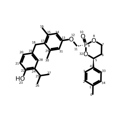 Cc1ccc([C@@H]2CCO[P@@](=O)(COc3cc(C)c(Cc4ccc(O)c(C(C)C)c4)c(C)c3)O2)cc1